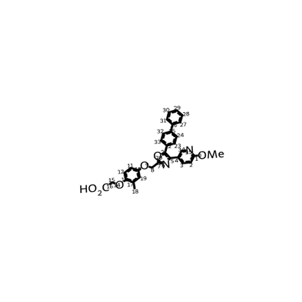 COc1ccc(-c2nc(COc3ccc(OCC(=O)O)c(C)c3)oc2-c2ccc(-c3ccccc3)cc2)cn1